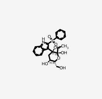 CC[C@]1(O)O[C@H](CO)[C@@H](O)C[C@]1(O)c1c(S(=O)(=O)c2ccccc2)[nH]c2ccccc12